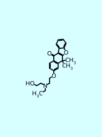 CCN(CCO)CCOc1ccc2c(c1)C(C)(C)c1oc3ccccc3c1C2=O